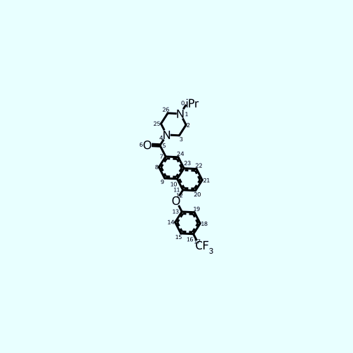 CC(C)N1CCN(C(=O)c2ccc3c(Oc4ccc(C(F)(F)F)cc4)cccc3c2)CC1